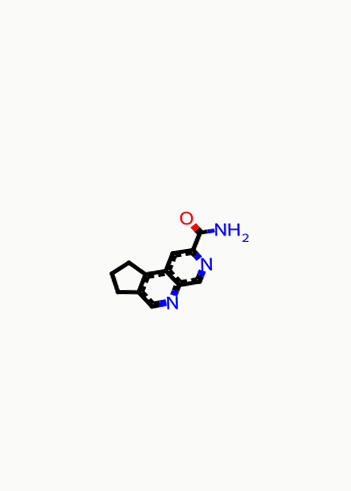 NC(=O)c1cc2c3c(cnc2cn1)CCC3